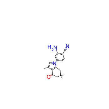 Cc1cn(-c2ccc(C#N)c(N)c2)c2c1C(=O)CC(C)(C)C2